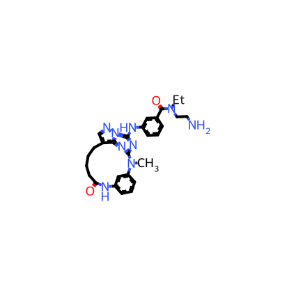 CCN(CCN)C(=O)c1cccc(Nc2nc3nc4c(cnn24)CCCCC(=O)Nc2cccc(c2)N3C)c1